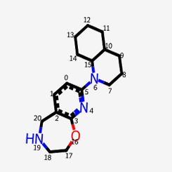 c1cc2c(nc1N1CCCC3CCCCC31)OCCNC2